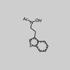 CC(=O)N(O)CCc1csc2ccccc12